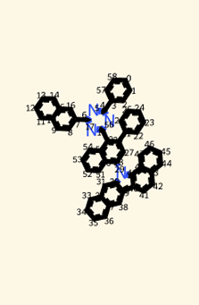 c1ccc(-c2nc(-c3ccc4ccccc4c3)nc(-c3c(-c4ccccc4)cc(-n4c5cc6ccccc6cc5c5ccc6ccccc6c54)c4ccccc34)n2)cc1